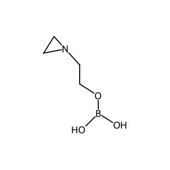 OB(O)OCCN1CC1